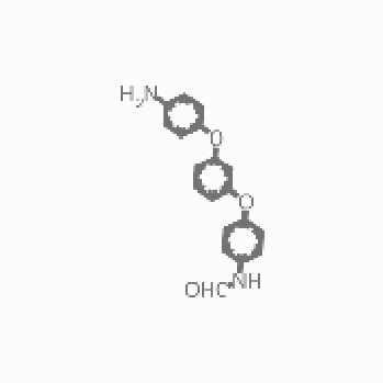 Nc1ccc(Oc2cccc(Oc3ccc(NC=O)cc3)c2)cc1